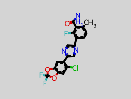 Cc1ccc(-c2cnc(-c3cc4c(cc3Cl)OC(F)(F)O4)cn2)c(F)c1C(N)=O